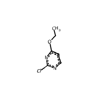 CCOc1ccnc(Cl)n1